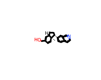 C[C@]12C=CC(CO)=C[C@@H]1CC[C@@H]2c1ccc2ccncc2c1